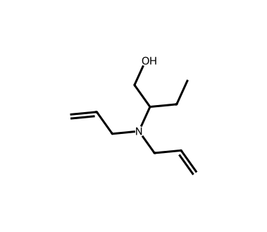 C=CCN(CC=C)C(CC)CO